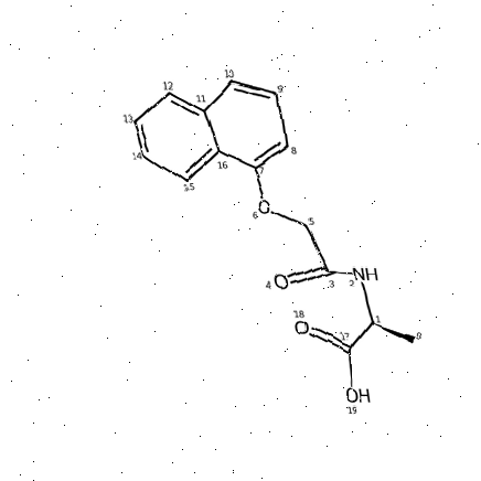 C[C@H](NC(=O)COc1cccc2ccccc12)C(=O)O